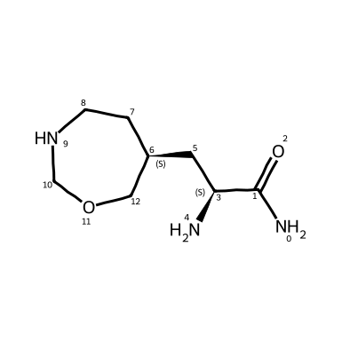 NC(=O)[C@@H](N)C[C@@H]1CCNCOC1